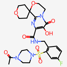 CC(=O)N1CCN(S(=O)(=O)c2cc(F)ccc2CNC(=O)c2nc3n(c(=O)c2O)CCOC32CCOCC2)CC1